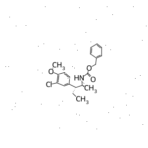 CC[C@H](c1ccc(OC)c(Cl)c1)[C@H](C)NC(=O)OCc1ccccc1